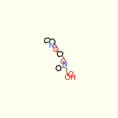 O=C(O)CCC(=NOCc1ccc(OCc2ccc3ccccc3n2)cc1)c1ccccc1